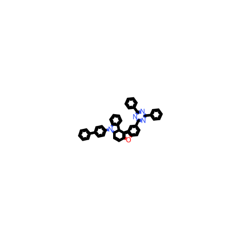 C1=CC2C(c3ccccc3N2c2ccc(-c3ccccc3)cc2)c2c1oc1ccc(-c3nc(-c4ccccc4)nc(-c4ccccc4)n3)cc21